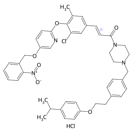 Cc1cc(/C=C/C(=O)N2CCN(Cc3ccc(CCOc4ccc(C(C)C)cc4)cc3)CC2)cc(Cl)c1Oc1ccc(OCc2ccccc2[N+](=O)[O-])cn1.Cl